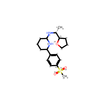 C[C@@H](NC1CCCC(c2ccc(S(C)(=O)=O)cc2)N1)C1CCCO1